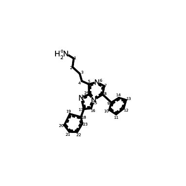 NCCCCc1ncc(-c2ccccc2)n2cc(-c3ccccc3)nc12